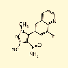 Cn1nc(C#N)c(C(N)=O)c1-c1cc(F)c2ncccc2c1